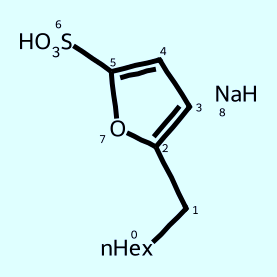 CCCCCCCc1ccc(S(=O)(=O)O)o1.[NaH]